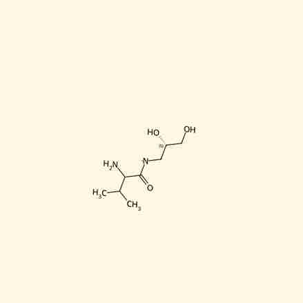 CC(C)C(N)C(=O)[N]C[C@H](O)CO